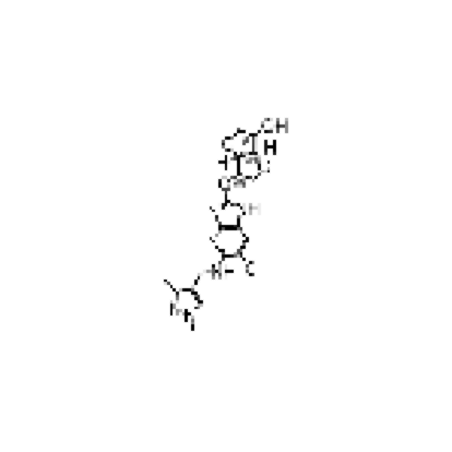 Cc1nn(C)cc1CNc1nc2nc(O[C@@H]3CO[C@H]4[C@@H]3OC[C@H]4O)[nH]c2cc1Cl